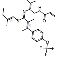 C=CC(=O)NCC(/N=C(S/C=C(\C)CC)\C(C)=C(/C)c1ccc(OC(F)(F)F)cc1)=C(C)C